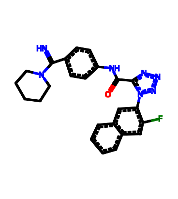 N=C(c1ccc(NC(=O)c2nnnn2-c2cc3ccccc3cc2F)cc1)N1CCCCC1